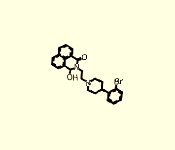 O=C1c2cccc3cccc(c23)C(O)N1CCN1CCC(c2ccccc2Br)CC1